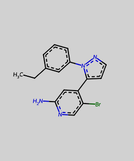 CCc1cccc(-n2nccc2-c2cc(N)ncc2Br)c1